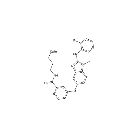 COCCCNC(=O)c1cc(Oc2ccc3c(c2)nc(Nc2ccccc2F)n3C)ccn1